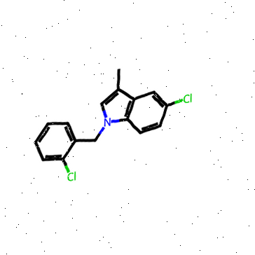 Cc1cn(Cc2ccccc2Cl)c2ccc(Cl)cc12